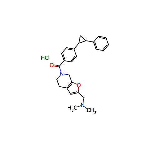 CN(C)Cc1cc2c(o1)CN(C(=O)c1ccc(C3CC3c3ccccc3)cc1)CC2.Cl